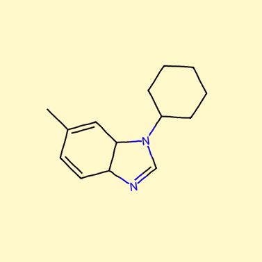 CC1=CC2C(C=C1)N=CN2C1CCCCC1